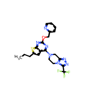 CCCc1cc2c(N3CCn4c(nnc4C(F)(F)F)C3)nc(OCc3ccccn3)nc2s1